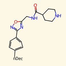 CCCCCCCCCCc1ccc(-c2noc(CNC(=O)C3CCNCC3)n2)cc1